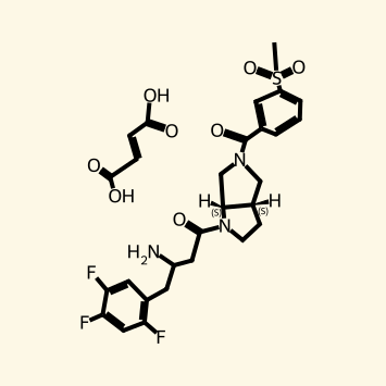 CS(=O)(=O)c1cccc(C(=O)N2C[C@@H]3CCN(C(=O)CC(N)Cc4cc(F)c(F)cc4F)[C@@H]3C2)c1.O=C(O)C=CC(=O)O